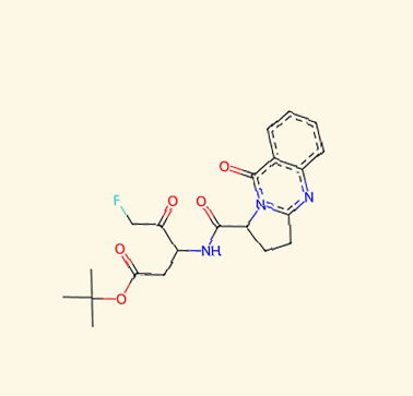 CC(C)(C)OC(=O)CC(NC(=O)C1CCc2nc3ccccc3c(=O)n21)C(=O)CF